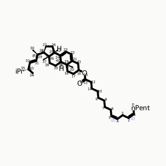 CCCCC/C=C\C/C=C\CCCCCCCC(=O)OC1CC[C@@]2(C)C(=CC=C3[C@@H]4CC[C@H]([C@H](C)C=C[C@H](C)C(C)C)[C@@]4(C)CC[C@@H]32)C1